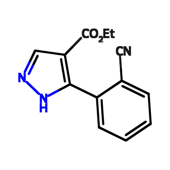 CCOC(=O)c1cn[nH]c1-c1ccccc1C#N